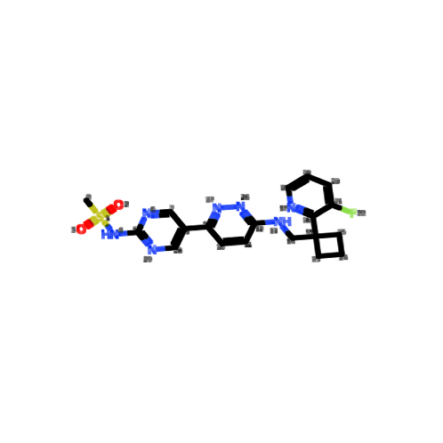 CS(=O)(=O)Nc1ncc(-c2ccc(NCC3(c4ncccc4F)CCC3)nn2)cn1